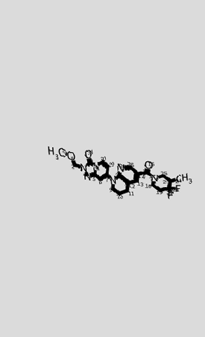 COCn1nc2cc(N3CCCc4cc(C(=O)N5CCC(F)(F)C(C)C5)cnc43)ccn2c1=O